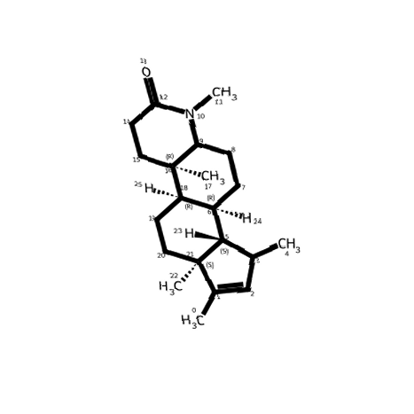 CC1=CC(C)[C@H]2[C@@H]3CCC4N(C)C(=O)CC[C@]4(C)[C@@H]3CC[C@]12C